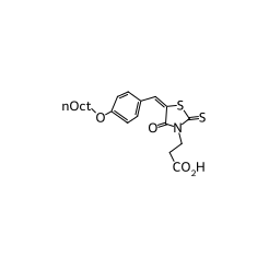 CCCCCCCCOc1ccc(/C=C2/SC(=S)N(CCC(=O)O)C2=O)cc1